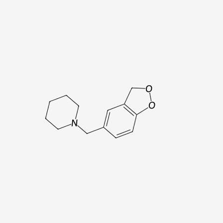 c1cc2c(cc1CN1CCCCC1)COO2